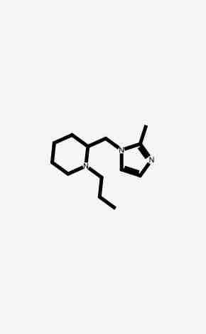 CCCN1CCCCC1Cn1ccnc1C